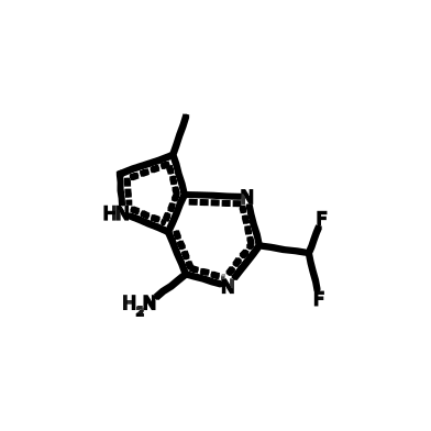 Cc1c[nH]c2c(N)nc(C(F)F)nc12